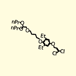 CCCOC(COCCCCCOc1c(CC)cc(OCC=C(Cl)Cl)cc1CC)OCCC